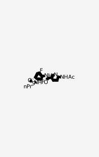 CCC[S+]([O-])Nc1ccc(F)c(NC(=O)c2ccc(NC(C)=O)nc2)c1F